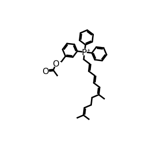 CC(=O)[O-].CC(C)=CCCC(C)=CC=CC=CC[P+](c1ccccc1)(c1ccccc1)c1cccc(C)c1